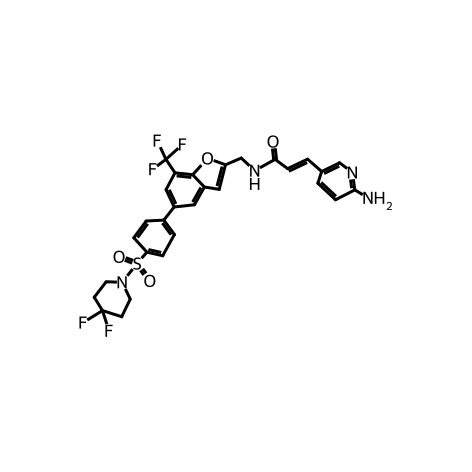 Nc1ccc(C=CC(=O)NCc2cc3cc(-c4ccc(S(=O)(=O)N5CCC(F)(F)CC5)cc4)cc(C(F)(F)F)c3o2)cn1